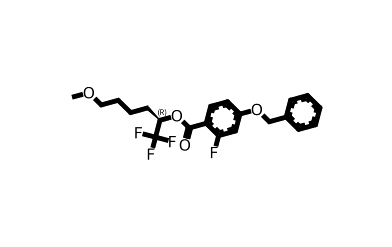 COCCCC[C@@H](OC(=O)c1ccc(OCc2ccccc2)cc1F)C(F)(F)F